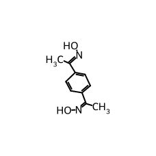 C/C(=N/O)c1ccc(/C(C)=N/O)cc1